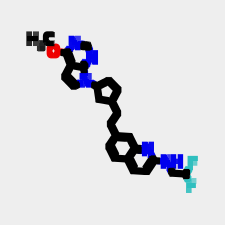 COc1ncnc2c1ccn2C1CCC(CCc2ccc3ccc(NCC(F)F)nc3c2)C1